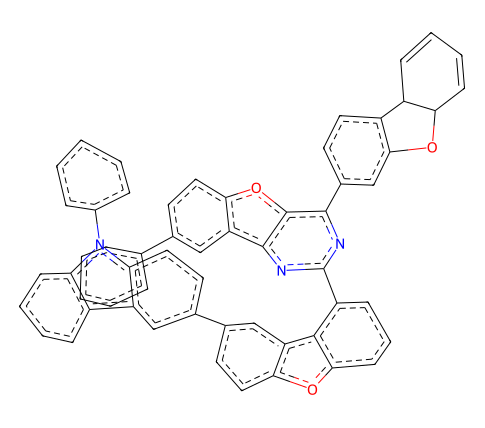 C1=CC2Oc3cc(-c4nc(-c5cccc6oc7ccc(-c8ccc9c(c8)c8ccccc8n9-c8ccccc8)cc7c56)nc5c4oc4ccc(-c6ccccc6)cc45)ccc3C2C=C1